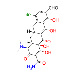 CN(C)[C@@H]1C(=O)C(C(N)=O)=C(O)[C@@]2(O)C(=O)C3=C(O)c4c(O)c(C=O)cc(Br)c4C[C@H]3C[C@@H]12